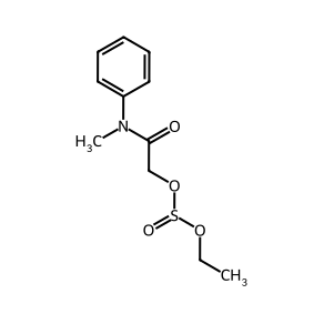 CCOS(=O)OCC(=O)N(C)c1ccccc1